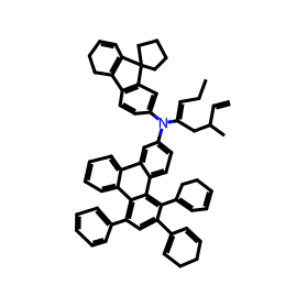 C=CC(C)C/C(=C\CC)N(c1ccc2c(c1)C1(CCCC1)C1=C2CCC=C1)c1ccc2c(c1)c1ccccc1c1c(-c3ccccc3)cc(C3=CCCC=C3)c(C3=CC=CCC3)c21